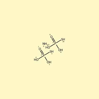 N.O=P(O)(O)S.O=P(O)(O)S